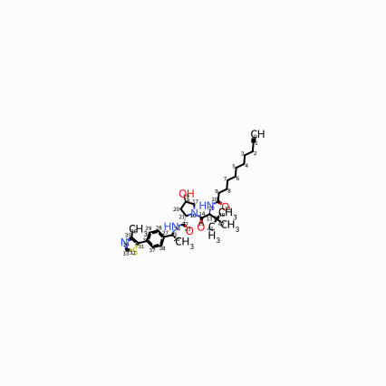 C#CCCCCCCCCC(=O)N[C@H](C(=O)N1C[C@H](O)C[C@H]1C(=O)N[C@@H](C)c1ccc(-c2scnc2C)cc1)C(C)(C)C